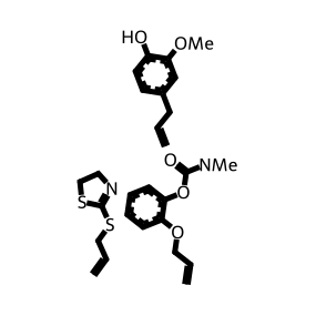 C=CCOc1ccccc1OC(=O)NC.C=CCSC1=NCCS1.C=CCc1ccc(O)c(OC)c1